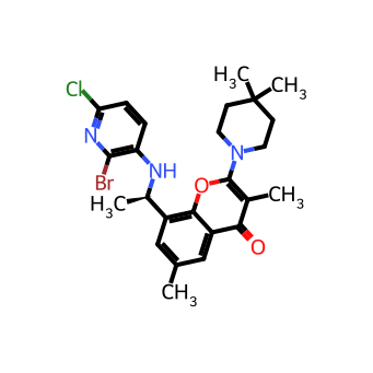 Cc1cc([C@@H](C)Nc2ccc(Cl)nc2Br)c2oc(N3CCC(C)(C)CC3)c(C)c(=O)c2c1